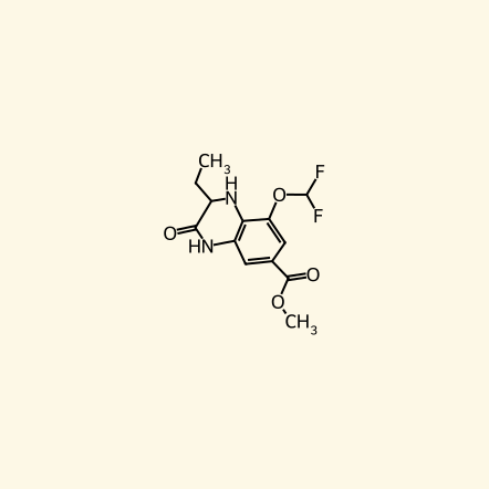 CCC1Nc2c(cc(C(=O)OC)cc2OC(F)F)NC1=O